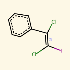 Cl/C(I)=C(/Cl)c1ccccc1